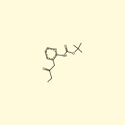 CCC(=O)Cc1cccnc1NC(=O)OC(C)(C)C